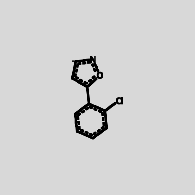 Clc1ccccc1-c1c[c]no1